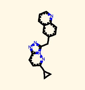 c1cnc2ccc(Cc3nnc4ccc(C5CC5)nn34)cc2c1